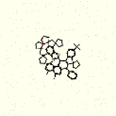 Cc1ccc2c3c1c(C)cc1c3n(c3nc4c5c(c6c(c4n23)C2(CCCC2)CC62CCCC2)C2(CCCC2)CC52CCCC2)C2=C(B1c1ccccc1)C1(CCCC1)c1cc(C(C)(C)C)ccc12